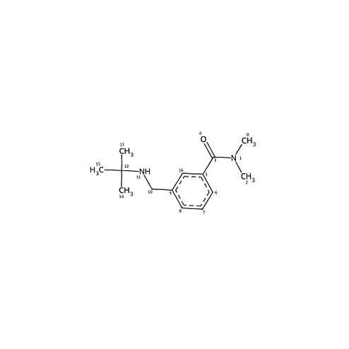 CN(C)C(=O)c1cccc(CNC(C)(C)C)c1